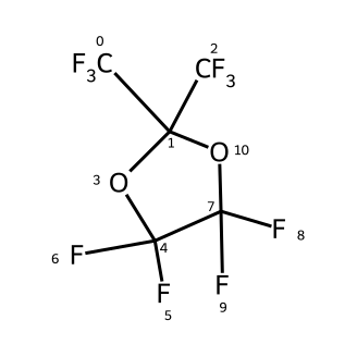 FC(F)(F)C1(C(F)(F)F)OC(F)(F)C(F)(F)O1